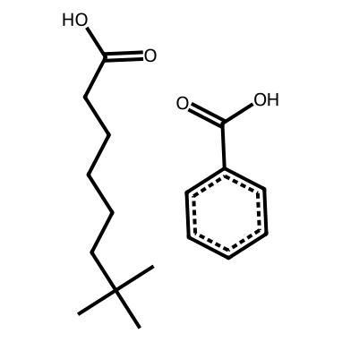 CC(C)(C)CCCCCC(=O)O.O=C(O)c1ccccc1